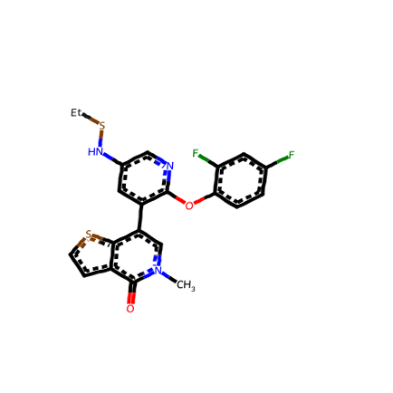 CCSNc1cnc(Oc2ccc(F)cc2F)c(-c2cn(C)c(=O)c3ccsc23)c1